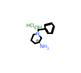 Cl.Cl.N[C@@H]1CCCN(Cc2ccccc2)C1